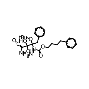 CC(C)(C)OC(Cc1ccccc1)(N(N)C(=O)OCCCCc1ccccc1)C(O)(O)C(N)=C=O